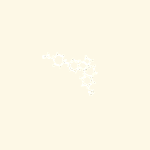 O=CC1CCN(c2ccc([C@H]3c4ccc(O)cc4CCC34CCC4)cc2)CC1